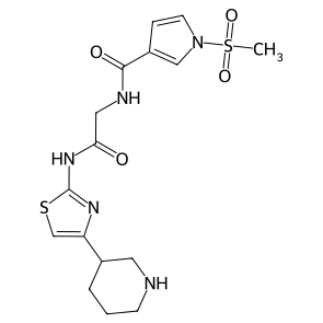 CS(=O)(=O)n1ccc(C(=O)NCC(=O)Nc2nc(C3CCCNC3)cs2)c1